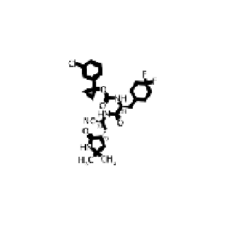 CC1(C)C[C@@H](C[C@@H](C#N)NC(=O)[C@H](CC2CCC(F)(F)CC2)NC(=O)OC2(c3cccc(Cl)c3)CC2)C(=O)N1